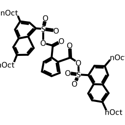 CCCCCCCCc1ccc2c(S(=O)(=O)OC(=O)c3ccccc3C(=O)OS(=O)(=O)c3cc(CCCCCCCC)cc4cc(CCCCCCCC)ccc34)cc(CCCCCCCC)cc2c1